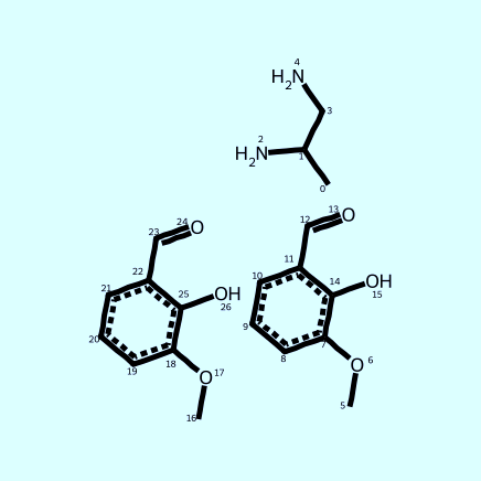 CC(N)CN.COc1cccc(C=O)c1O.COc1cccc(C=O)c1O